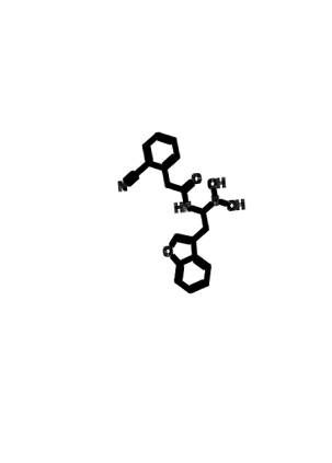 N#Cc1ccccc1CC(=O)NC(Cc1coc2ccccc12)B(O)O